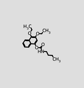 CCCCNC(=O)Oc1cc(OCC)c(OCC)c2ccccc12